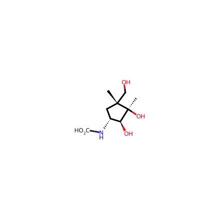 C[C@]1(CO)C[C@@H](NC(=O)O)[C@H](O)[C@]1(C)O